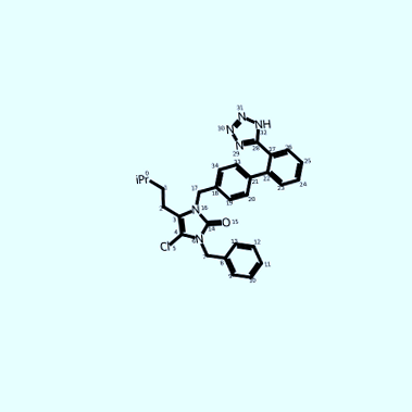 CC(C)CCc1c(Cl)n(Cc2ccccc2)c(=O)n1Cc1ccc(-c2ccccc2-c2nnn[nH]2)cc1